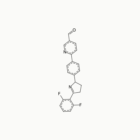 O=Cc1ccc(-c2ccc(C3CCC(c4c(F)cccc4F)=N3)cc2)nc1